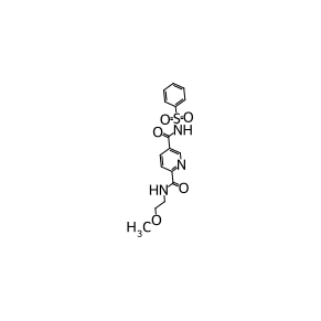 COCCNC(=O)c1ccc(C(=O)NS(=O)(=O)c2ccccc2)cn1